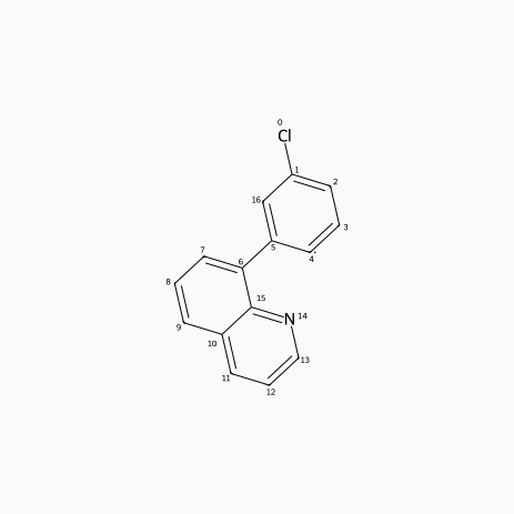 Clc1cc[c]c(-c2cccc3cccnc23)c1